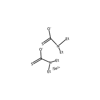 CCN(CC)C([O-])=S.CCN(CC)C([O-])=S.[Se+2]